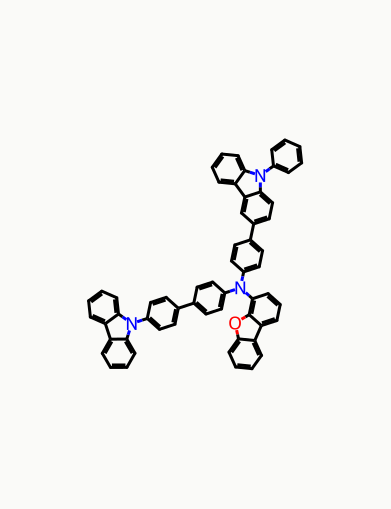 c1ccc(-n2c3ccccc3c3cc(-c4ccc(N(c5ccc(-c6ccc(-n7c8ccccc8c8ccccc87)cc6)cc5)c5cccc6c5oc5ccccc56)cc4)ccc32)cc1